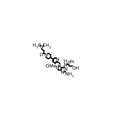 CCC[C@@H](CCO)Nc1nc(N)nc2cnn(Cc3ncc(C4CCN(C(=O)CCN(C)C)CC4)cc3OC)c12